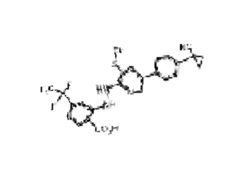 CCSc1cc(-c2ccc(C3(C#N)CC3)cc2)cnc1NNc1cc(C(F)(F)C(F)(F)F)ncc1C(=O)O